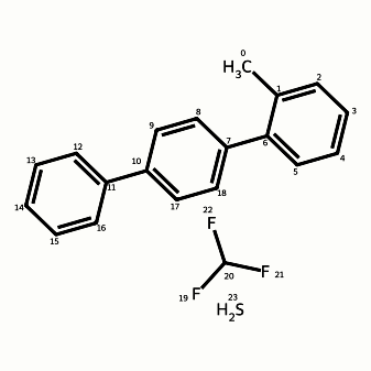 Cc1ccccc1-c1ccc(-c2ccccc2)cc1.FC(F)F.S